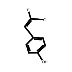 Oc1ccc(C=C(F)Cl)cc1